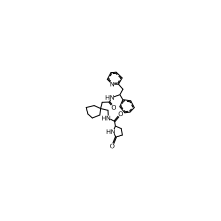 O=C1CCC(C(=O)NCC2(CC(=O)NC(Cc3ccccn3)c3ccccc3)CCCCC2)N1